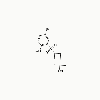 COc1ccc(Br)cc1S(=O)(=O)[C@H]1C[C@](C)(C(C)(C)O)C1